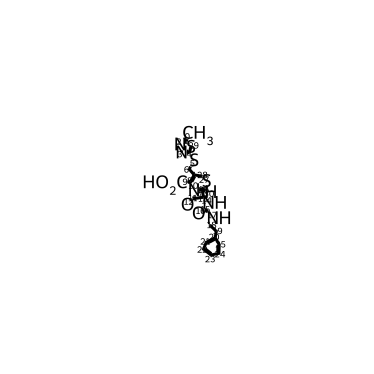 Cc1nnc(SCC2=C(C(=O)O)N3C(=O)C(NC(=O)NCCc4ccccc4)[C@H]3SC2)s1